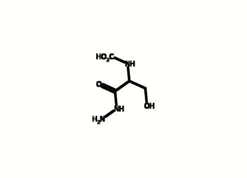 NNC(=O)C(CO)NC(=O)O